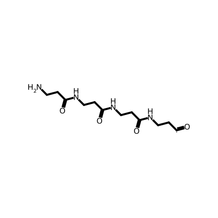 NCCC(=O)NCCC(=O)NCCC(=O)NCC[C]=O